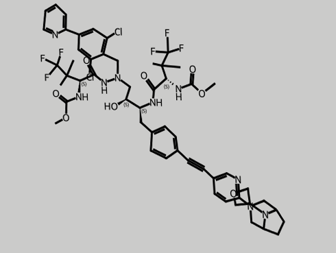 COC(=O)N[C@H](C(=O)N[C@@H](Cc1ccc(C#Cc2ccc(N3CC4CCC(C3)N4C3COC3)nc2)cc1)[C@@H](O)CN(Cc1c(Cl)cc(-c2ccccn2)cc1Cl)NC(=O)[C@@H](NC(=O)OC)C(C)(C)C(F)(F)F)C(C)(C)C(F)(F)F